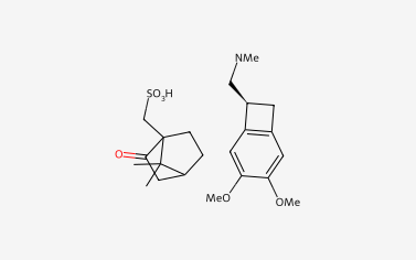 CC1(C)C2CCC1(CS(=O)(=O)O)C(=O)C2.CNC[C@H]1Cc2cc(OC)c(OC)cc21